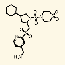 NCc1ccnc(S(=O)(=O)CC2CC(C3CCCCC3)CN2S(=O)(=O)N2CCS(=O)(=O)CC2)c1